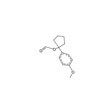 COc1ccc(C2(OC=O)CCCC2)cc1